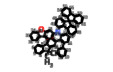 CC1(C)c2ccccc2-c2ccc(-c3c(-c4ccccc4)cccc3N(c3ccc4c(c3)oc3ccccc34)c3cccc4c3-c3ccccc3C43c4ccccc4-c4ccccc43)cc21